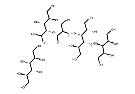 C[C@@H](O)[C@@H](O)[C@H](O)[C@H](O)CO.OCC(O)CO.OC[C@@H](O)[C@@H](O)[C@H](O)[C@@H](O)CO.OC[C@@H](O)[C@@H](O)[C@H](O)[C@H](O)CO.OC[C@@H](O)[C@H](O)[C@@H](O)CO